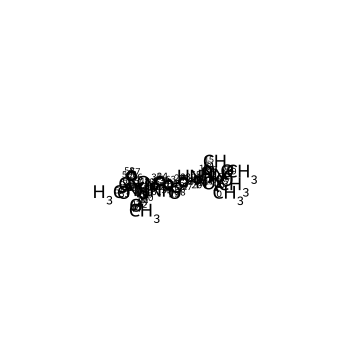 CC[C@H](C)C(NC(=O)OC)C(=O)N1C[C@@H](C)CC1c1ncc(-c2ccc3c(c2)COc2cc4c(ccc5nc([C@@H]6C[C@H](COC)CN6C(=O)[C@H](NC(=O)OC)c6ccccc6)[nH]c54)cc2-3)[nH]1